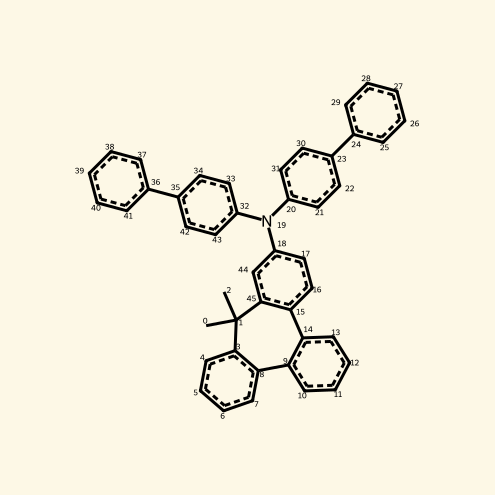 CC1(C)c2ccccc2-c2ccccc2-c2ccc(N(c3ccc(-c4ccccc4)cc3)c3ccc(-c4ccccc4)cc3)cc21